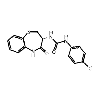 O=C(Nc1ccc(Cl)cc1)N[C@H]1CSc2ccccc2NC1=O